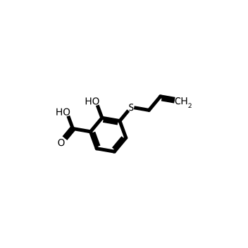 C=CCSc1cccc(C(=O)O)c1O